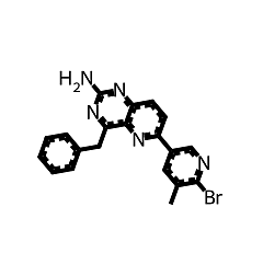 Cc1cc(-c2ccc3nc(N)nc(Cc4ccccc4)c3n2)cnc1Br